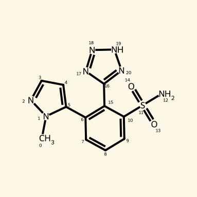 Cn1nccc1-c1cccc(S(N)(=O)=O)c1-c1nn[nH]n1